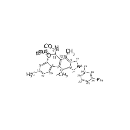 Cc1ccc(-c2c(C)c3c(c(C)c2C(OC(C)(C)C)C(=O)O)CN(Cc2cccc(F)c2)C3)cc1